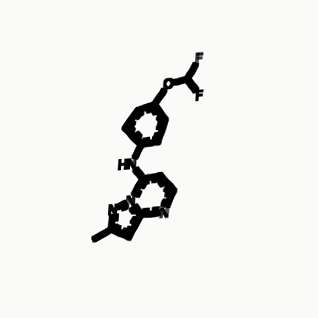 Cc1cc2nccc(Nc3ccc(OC(F)F)cc3)n2n1